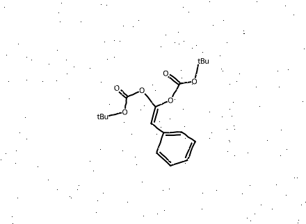 CC(C)(C)OC(=O)OC(=Cc1ccccc1)OC(=O)OC(C)(C)C